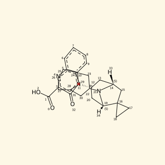 O=C(O)c1nc2ccccc2n([C@@H]2C[C@@H]3CC4(CC4)[C@H](C2)N3C2CC3CCCC(C3)C2)c1=O